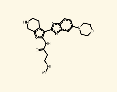 CC(C)NCCC(=O)Nc1sc2c(c1-c1nc3cc(N4CCOCC4)ccc3s1)CCNC2